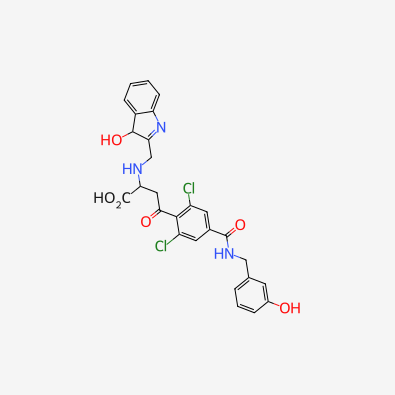 O=C(NCc1cccc(O)c1)c1cc(Cl)c(C(=O)CC(NCC2=Nc3ccccc3C2O)C(=O)O)c(Cl)c1